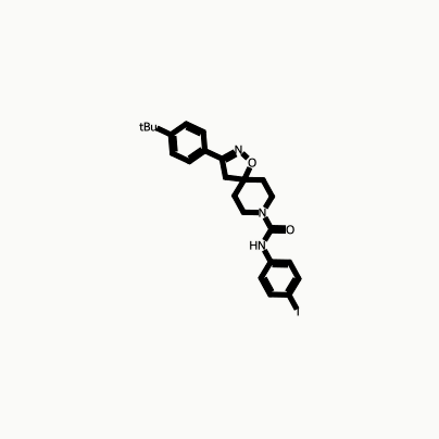 CC(C)(C)c1ccc(C2=NOC3(CCN(C(=O)Nc4ccc(I)cc4)CC3)C2)cc1